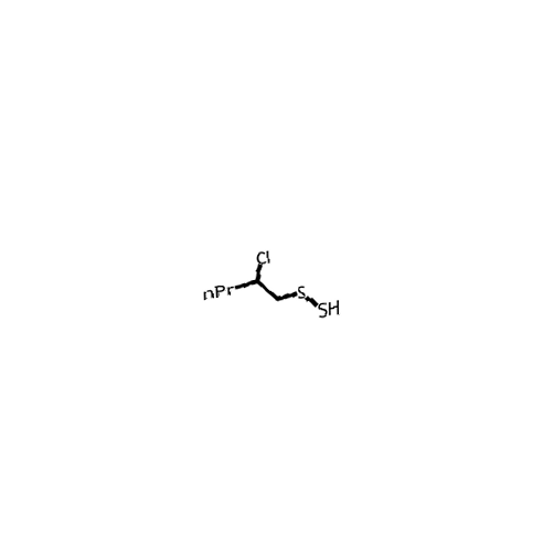 CCCC(Cl)CSS